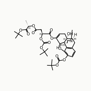 C[C@H](OC(=O)C[C@H](OC(=O)OC(C)(C)C)C(=O)OC1=CC[C@@]2(O)[C@H]3Cc4ccc(OC(=O)OC(C)(C)C)c5c4[C@@]2(CCN3C)[C@H]1O5)C(=O)OC(C)(C)C